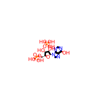 O=P(O)(O)O.O=P(O)(O)OC[C@H]1O[C@@H](n2cnc3c(O)ncnc32)[C@H](O)[C@@H]1O